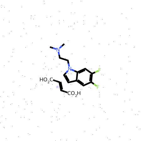 CN(C)CCn1ccc2cc(F)c(F)cc21.O=C(O)/C=C/C(=O)O